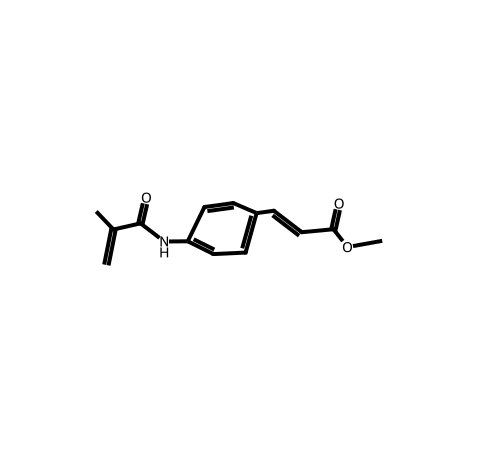 C=C(C)C(=O)Nc1ccc(C=CC(=O)OC)cc1